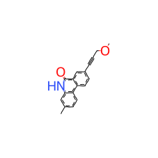 COCC#Cc1ccc2c(c1)c(=O)[nH]c1cc(C)ccc12